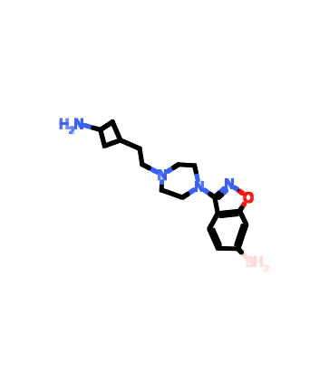 Bc1ccc2c(N3CCN(CCC4CC(N)C4)CC3)noc2c1